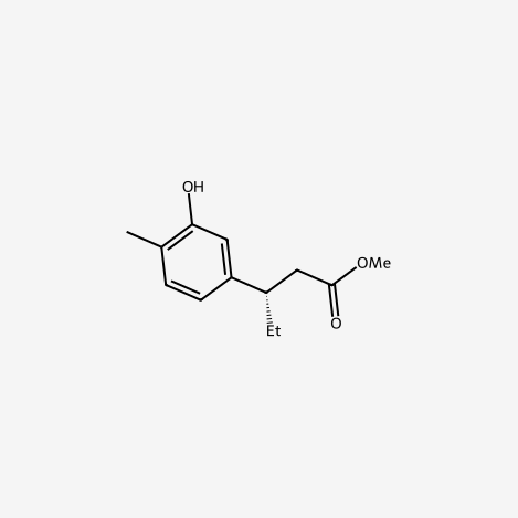 CC[C@@H](CC(=O)OC)c1ccc(C)c(O)c1